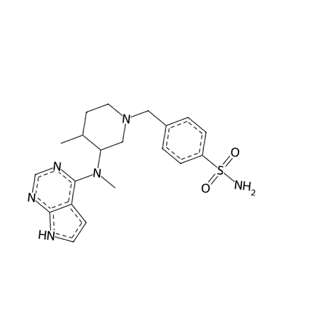 CC1CCN(Cc2ccc(S(N)(=O)=O)cc2)CC1N(C)c1ncnc2[nH]ccc12